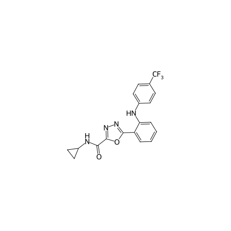 O=C(NC1CC1)c1nnc(-c2ccccc2Nc2ccc(C(F)(F)F)cc2)o1